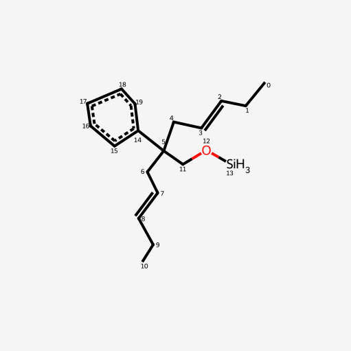 CCC=CCC(CC=CCC)(CO[SiH3])c1ccccc1